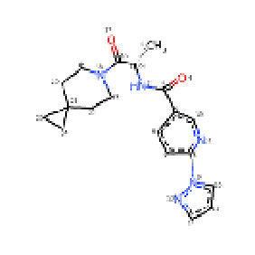 C[C@H](NC(=O)c1ccc(-n2cccn2)nc1)C(=O)N1CCC2(CC1)CC2